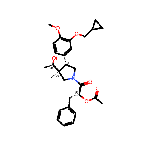 COc1ccc([C@@H]2CN(C(=O)[C@@H](Cc3ccccc3)OC(C)=O)C[C@@]2(C)[C@@H](C)O)cc1OCC1CC1